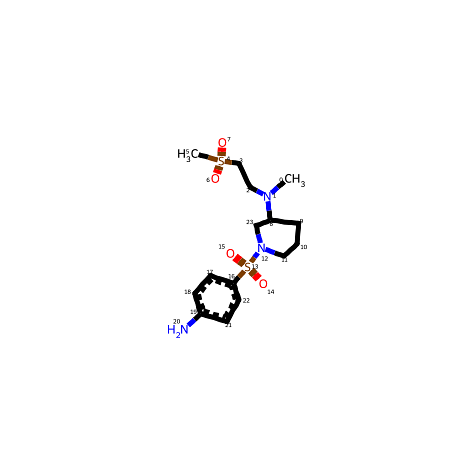 CN(CCS(C)(=O)=O)C1CCCN(S(=O)(=O)c2ccc(N)cc2)C1